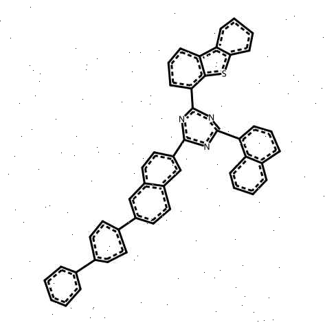 c1ccc(-c2ccc(-c3ccc4cc(-c5nc(-c6cccc7ccccc67)nc(-c6cccc7c6sc6ccccc67)n5)ccc4c3)cc2)cc1